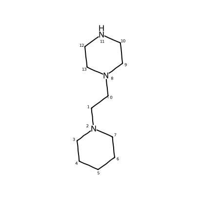 [CH](CN1CCCCC1)N1CCNCC1